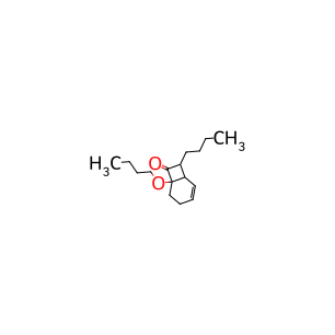 CCCCOC12CCC=CC1C(CCCC)C2=O